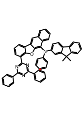 CC1(C)c2ccccc2-c2ccc(N(c3ccccc3)c3c4ccccc4cc4c3oc3c(-c5nc(-c6ccccc6)nc(-c6ccccc6)n5)cccc34)cc21